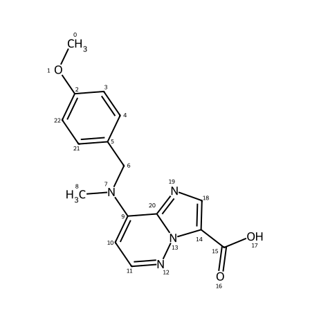 COc1ccc(CN(C)c2ccnn3c(C(=O)O)cnc23)cc1